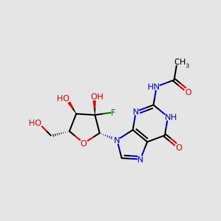 CC(=O)Nc1nc2c(ncn2[C@@H]2O[C@H](CO)[C@@H](O)[C@]2(O)F)c(=O)[nH]1